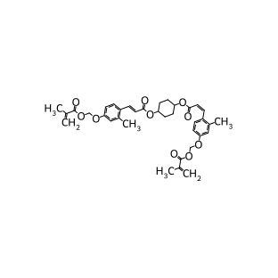 C=C(C)C(=O)OCOc1ccc(/C=C\C(=O)OC2CCC(OC(=O)/C=C/c3ccc(OCOC(=O)C(=C)C)cc3C)CC2)c(C)c1